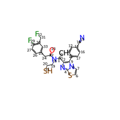 C[C@H](c1nc2sccn2c1-c1ccc(C#N)cc1)N(CCS)C(=O)Cc1ccc(F)c(CF)c1